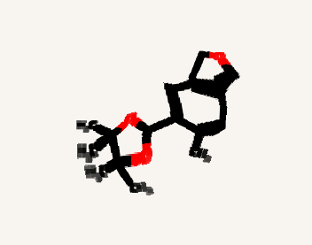 Cc1cc2c(cc1B1OC(C)(C)C(C)(C)O1)COC2